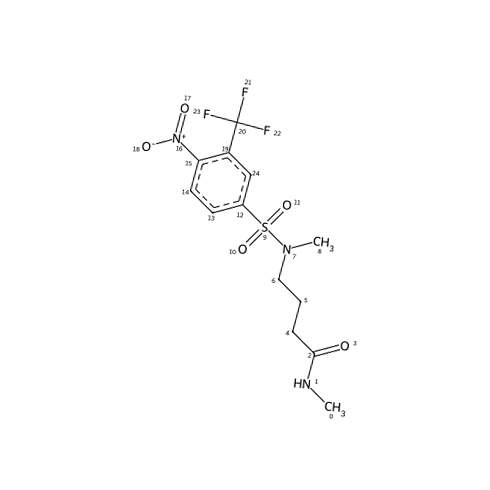 CNC(=O)CCCN(C)S(=O)(=O)c1ccc([N+](=O)[O-])c(C(F)(F)F)c1